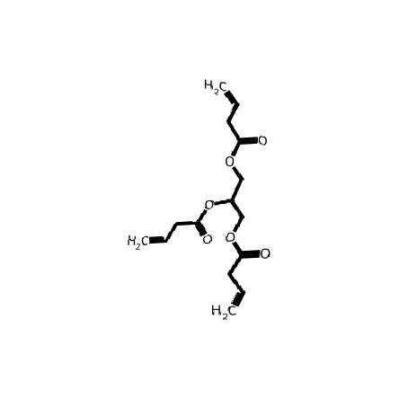 C=CCC(=O)OCC(COC(=O)CC=C)OC(=O)CC=C